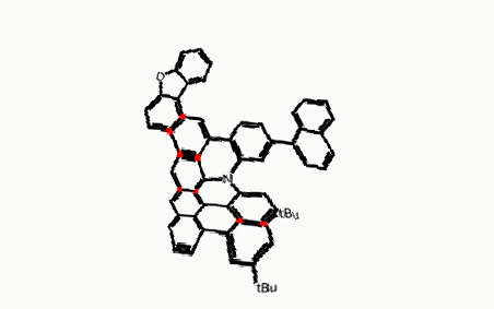 CC(C)(C)c1cc(-c2cccc3cccc(-c4ccccc4N(c4cccc(-c5ccc6oc7ccccc7c6c5)c4)c4cc(-c5cccc6ccccc56)ccc4-c4ccccc4)c23)cc(C(C)(C)C)c1